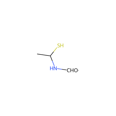 CC(S)N[C]=O